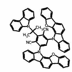 CC(C)(c1c(C#N)c(-n2c3ccccc3c3ccc4c5ccccc5oc4c32)cc(-n2c3ccccc3c3ccc4c5ccccc5oc4c32)c1C#N)n1c2ccccc2c2ccccc21